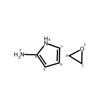 C1CO1.Nc1ccc[nH]1